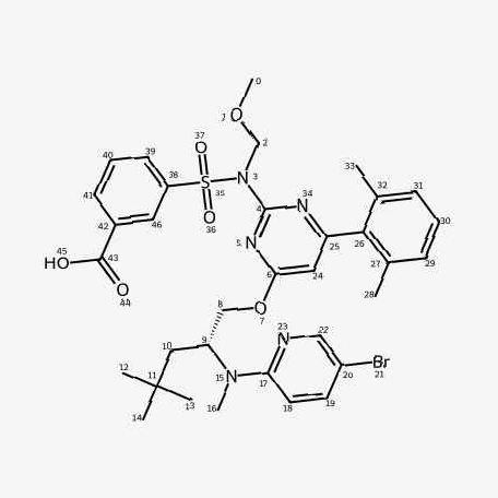 COCN(c1nc(OC[C@@H](CC(C)(C)C)N(C)c2ccc(Br)cn2)cc(-c2c(C)cccc2C)n1)S(=O)(=O)c1cccc(C(=O)O)c1